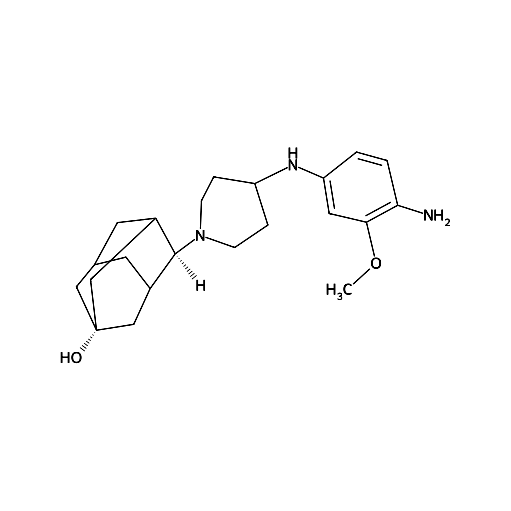 COc1cc(NC2CCN([C@H]3C4CC5CC3C[C@](O)(C5)C4)CC2)ccc1N